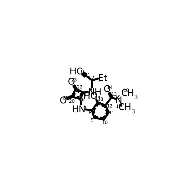 C#CC(CC)Nc1c(Nc2cccc(C(=O)N(C)C)c2O)c(=O)c1=O